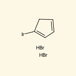 Br.Br.[Ir][C]1=CC=CC1